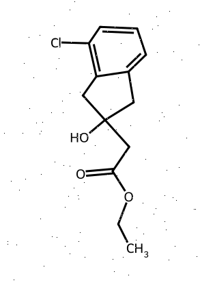 CCOC(=O)CC1(O)Cc2cccc(Cl)c2C1